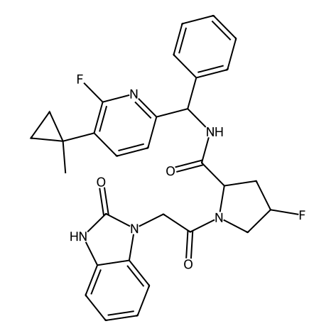 CC1(c2ccc(C(NC(=O)C3CC(F)CN3C(=O)Cn3c(=O)[nH]c4ccccc43)c3ccccc3)nc2F)CC1